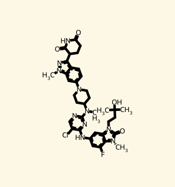 CN(c1ncc(Cl)c(Nc2cc(F)c3c(c2)n(CCC(C)(C)O)c(=O)n3C)n1)C1CCN(c2ccc3c(C4CCC(=O)NC4=O)nn(C)c3c2)CC1